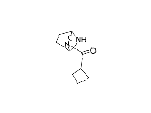 O=C(C1CCC1)N1CC2CCC1CN2